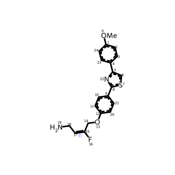 COc1ccc(-c2csc(-c3ccc(OC/C(F)=C\CN)cc3)n2)cc1